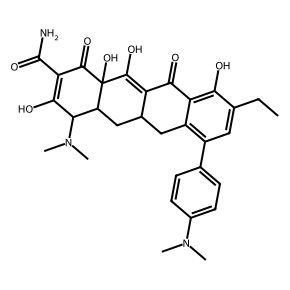 CCc1cc(-c2ccc(N(C)C)cc2)c2c(c1O)C(=O)C1=C(O)C3(O)C(=O)C(C(N)=O)=C(O)C(N(C)C)C3CC1C2